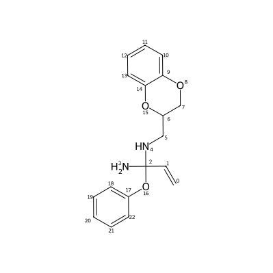 C=CC(N)(NCC1COc2ccccc2O1)Oc1ccccc1